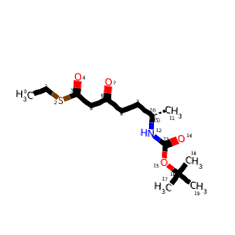 CCSC(=O)CC(=O)CC[C@H](C)NC(=O)OC(C)(C)C